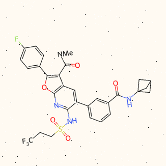 CNC(=O)c1c(-c2ccc(F)cc2)oc2nc(NS(=O)(=O)CCC(F)(F)F)c(-c3cccc(C(=O)NC45CC(C4)C5)c3)cc12